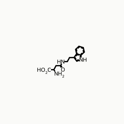 NC(CC(=O)NCCc1c[nH]c2ccccc12)C(=O)O